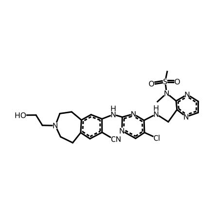 CN(c1nccnc1CNc1nc(Nc2cc3c(cc2C#N)CCN(CCO)CC3)ncc1Cl)S(C)(=O)=O